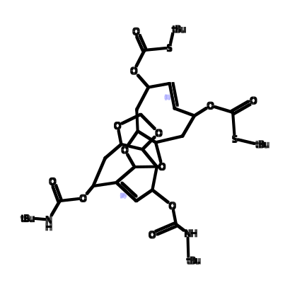 CC(C)(C)NC(=O)OC1/C=C(\C2OC3CC(OC(=O)SC(C)(C)C)/C=C/C(OC(=O)SC(C)(C)C)CC3O2)C(OC(=O)NC(C)(C)C)CC2OCOC2C1